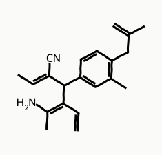 C=C/C(=C(\C)N)C(/C(C#N)=C/C)c1ccc(CC(=C)C)c(C)c1